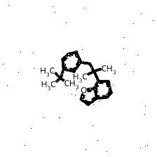 CC(C)(C)c1cccc(CC(C)(C)c2cccc3ccoc23)c1